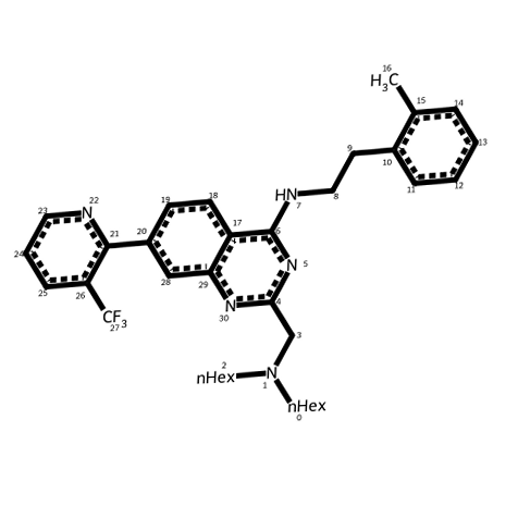 CCCCCCN(CCCCCC)Cc1nc(NCCc2ccccc2C)c2ccc(-c3ncccc3C(F)(F)F)cc2n1